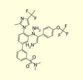 Cc1nc(C(C)(F)F)cn1-c1ccc(-c2cccc(S(=O)(=O)N(C)C)c2)cc1N(N)/C(=C\N)c1ccc(OC(F)(F)F)cc1